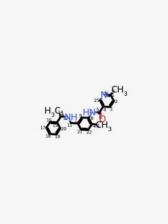 Cc1ccc(C(=O)Nc2cc(CN[C@H](C)c3ccccc3)ccc2C)cn1